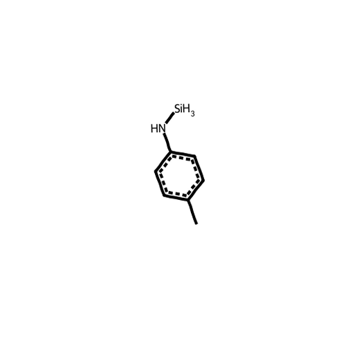 Cc1ccc(N[SiH3])cc1